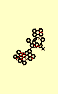 CC(C)(C)c1cc(-c2ccccc2N(c2ccccc2-c2cccc3cc(-c4cc(-c5ccccc5)c5c(c4)C(C)(C)c4cc(cc(C(C)(C)C)c4)-c4ccccc4N(c4ccccc4-c4cccc6cccc(-c7ccccc7)c46)c4ccc-5c(-c5ccccc5)c4)cc(-c4ccccc4)c23)c2cccc3c2-c2ccccc2C3(c2ccccc2)c2ccccc2)cc(C(C)(C)C)c1